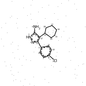 Nc1[nH]nc(-c2ccc(Cl)cc2)c1C1CCCCC1